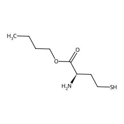 CCCCOC(=O)[C@H](N)CCS